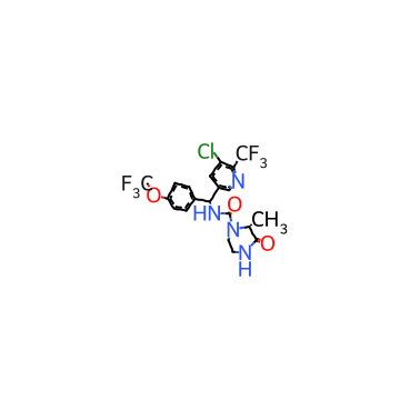 C[C@@H]1C(=O)NCCN1C(=O)N[C@H](c1ccc(OC(F)(F)F)cc1)c1cnc(C(F)(F)F)c(Cl)c1